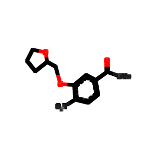 COC(=O)c1ccc([N+](=O)[O-])c(OCC2CCCO2)c1